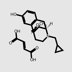 C[C@@]12OCOC[C@@]13CCN(CC1CC1)[C@@H]2Cc1ccc(O)cc13.O=C(O)/C=C/C(=O)O